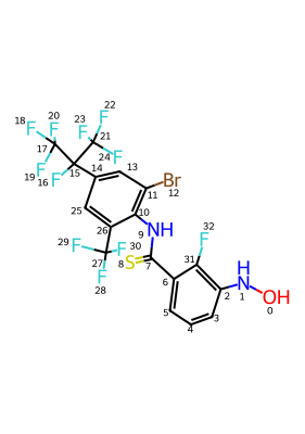 ONc1cccc(C(=S)Nc2c(Br)cc(C(F)(C(F)(F)F)C(F)(F)F)cc2C(F)(F)F)c1F